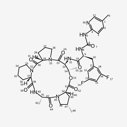 Cc1ccc(NC(=O)N[C@@H](Cc2cc(F)cc(F)c2)C(=O)N[C@@H]2C(=O)N3CCC[C@H]3C(=O)N3CCCC[C@H]3C(=O)N[C@@H](C)C(=O)N3C[C@@H](C)C[C@H]3C(=O)O[C@H]2C)nc1